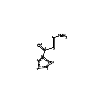 NC=CC(=O)c1cccs1